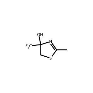 CC1=NC(O)(C(F)(F)F)CS1